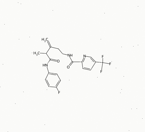 C=C(CCNC(=O)c1ccc(C(F)(F)F)cn1)C(C)C(=O)Nc1ccc(F)cc1